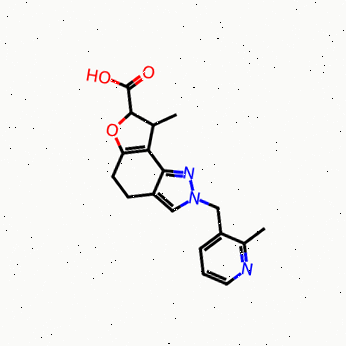 Cc1ncccc1Cn1cc2c(n1)C1=C(CC2)OC(C(=O)O)C1C